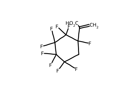 C=C(C(=O)O)C1(F)CC(F)(F)C(F)(F)C(F)(F)C1(F)F